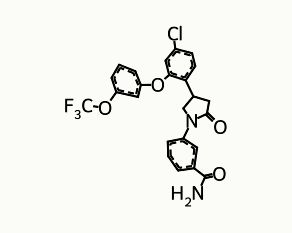 NC(=O)c1cccc(N2CC(c3ccc(Cl)cc3Oc3cccc(OC(F)(F)F)c3)CC2=O)c1